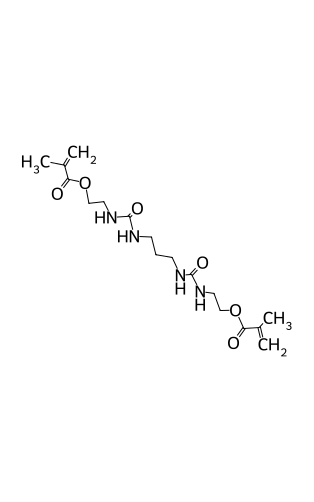 C=C(C)C(=O)OCCNC(=O)NCCCNC(=O)NCCOC(=O)C(=C)C